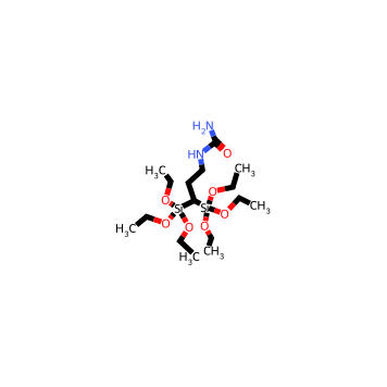 CCO[Si](OCC)(OCC)C(CCNC(N)=O)[Si](OCC)(OCC)OCC